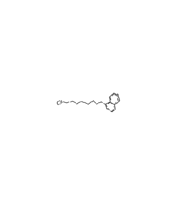 ClCCCCCCCCc1cccc2ccccc12